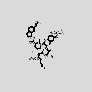 C=CCC[C@@H](OC)[C@@H](C)C(=O)N[C@H](C(=O)N[C@@H](Cc1cccc(O[Si](C)(C)C(C)(C)C)c1)C(=O)N1CCC[C@@H](C(=O)O[C@@H]2CCc3ccc(C=C)cc32)N1)C(C)C